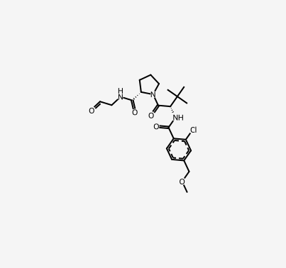 COCc1ccc(C(=O)N[C@H](C(=O)N2CCC[C@H]2C(=O)NCC=O)C(C)(C)C)c(Cl)c1